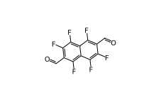 O=Cc1c(F)c(F)c2c(F)c(C=O)c(F)c(F)c2c1F